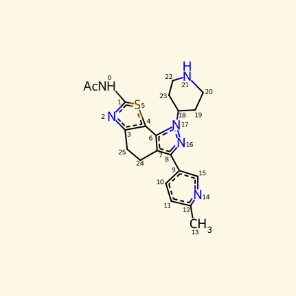 CC(=O)Nc1nc2c(s1)-c1c(c(-c3ccc(C)nc3)nn1C1CCNCC1)CC2